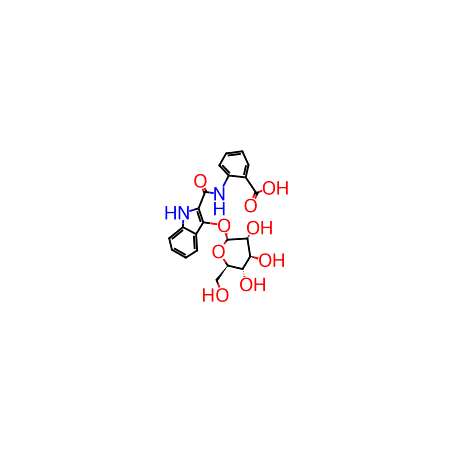 O=C(O)c1ccccc1NC(=O)c1[nH]c2ccccc2c1O[C@@H]1O[C@H](CO)[C@@H](O)[C@H](O)[C@H]1O